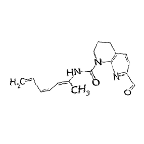 C=C/C=C\C=C(/C)NC(=O)N1CCCc2ccc(C=O)nc21